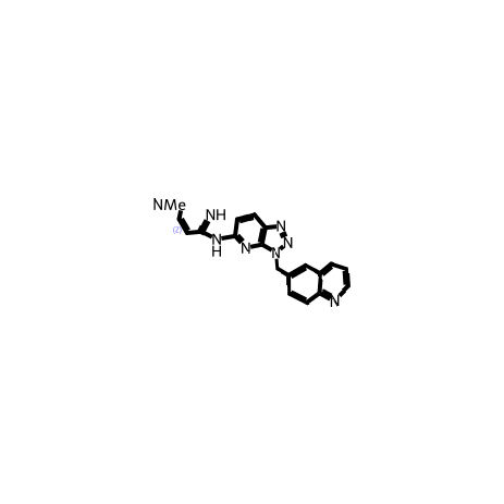 CN/C=C\C(=N)Nc1ccc2nnn(Cc3ccc4ncccc4c3)c2n1